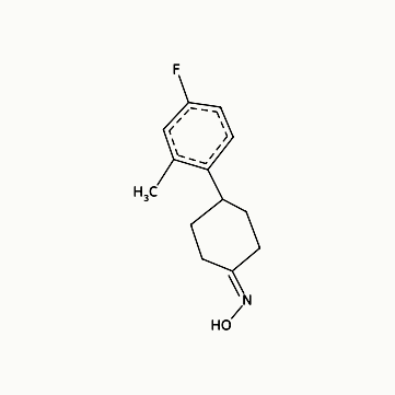 Cc1cc(F)ccc1C1CCC(=NO)CC1